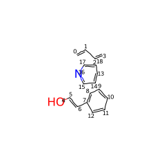 C=CC=C.OC=Cc1ccccc1.c1ccncc1